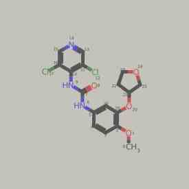 COc1ccc(NC(=O)Nc2c(Cl)cncc2Cl)cc1OC1CCOC1